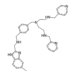 Cc1ccc2[nH]c(CNCc3ccc(CN(CCNCc4ccncc4)CCNCc4ccccn4)cc3)nc2c1